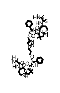 CN[C@@H](C)C(=O)N[C@H]1CCS[C@H]2CC(C)(C)[C@@H](C(=O)N[C@H](COCCCn3cc(COC[C@@H](NC(=O)[C@H]4N5C(=O)[C@@H](NC(=S)[C@H](C)NC)CCS[C@H]5CC4(C)C)c4ccccc4)nn3)c3ccccc3)N2C1=O